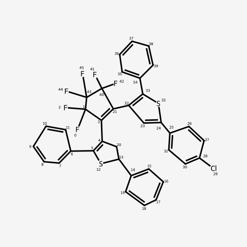 FC1(F)C(C2=C(c3ccccc3)SC(c3ccccc3)C2)=C(c2cc(-c3ccc(Cl)cc3)sc2-c2ccccc2)C(F)(F)C1(F)F